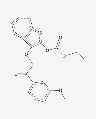 CCOC(=O)Oc1sc2ccccc2c1OCC(=O)c1cccc(OC)c1